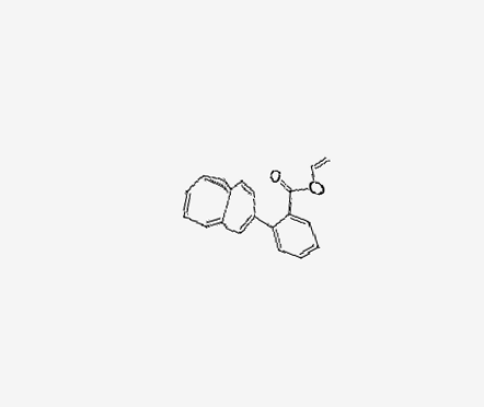 C=COC(=O)c1ccccc1-c1ccc2ccccc2c1